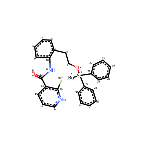 CC(C)(C)[Si](OCCc1ccccc1NC(=O)c1cccnc1F)(c1ccccc1)c1ccccc1